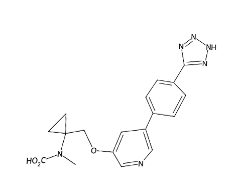 CN(C(=O)O)C1(COc2cncc(-c3ccc(-c4nn[nH]n4)cc3)c2)CC1